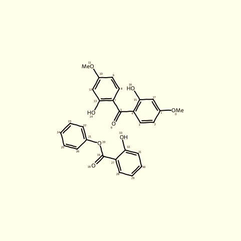 COc1ccc(C(=O)c2ccc(OC)cc2O)c(O)c1.O=C(Oc1ccccc1)c1ccccc1O